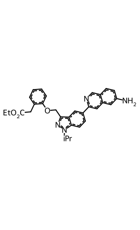 CCOC(=O)Cc1ccccc1OCc1nn(C(C)C)c2ccc(-c3cc4cc(N)ccc4cn3)cc12